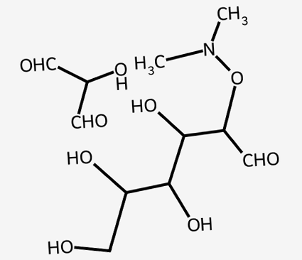 CN(C)OC(C=O)C(O)C(O)C(O)CO.O=CC(O)C=O